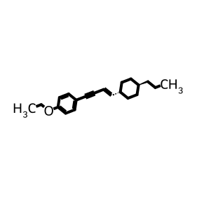 CCC[C@H]1CC[C@H](/C=C/C#Cc2ccc(OCC)cc2)CC1